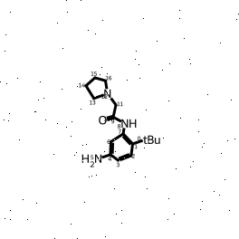 CC(C)(C)c1ccc(N)cc1NC(=O)CN1CCCC1